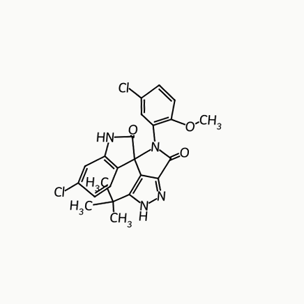 COc1ccc(Cl)cc1N1C(=O)c2n[nH]c(C(C)(C)C)c2C12C(=O)Nc1cc(Cl)ccc12